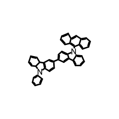 C1=CC2c3cc(-c4ccc5c(c4)c4ccccc4n5-c4c5ccccc5cc5ccccc45)ccc3N(c3ccccc3)C2C=C1